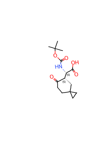 CC(C)(C)OC(=O)N[C@H](C(=O)O)[C@@H]1CC2(CCC1=O)CC2